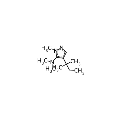 CCC(C)(C)c1cnn(C)c1N(C)C